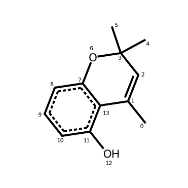 CC1=CC(C)(C)Oc2cccc(O)c21